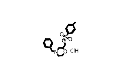 Cc1ccc(S(=O)(=O)OCC2CN(Cc3ccccc3)CCO2)cc1.Cl